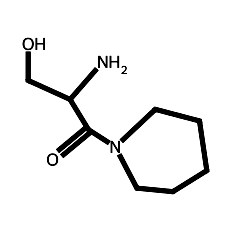 NC(CO)C(=O)N1CCCCC1